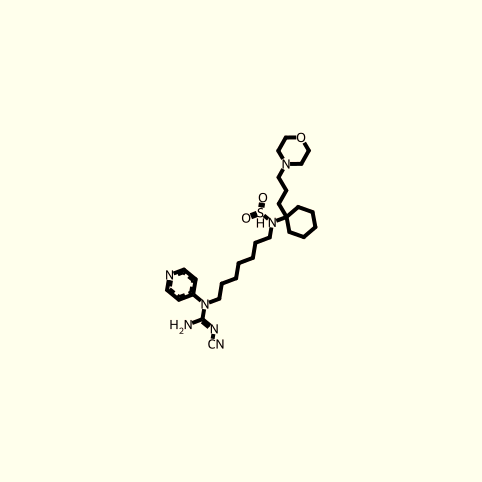 N#CN=C(N)N(CCCCCCCN([SH](=O)=O)C1(CCCN2CCOCC2)CCCCC1)c1ccncc1